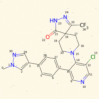 Cn1cc(-c2ccc(-c3cncc(Cl)c3N3CCC4(CC3)C(=O)NN=C4C(F)(F)F)cc2)cn1